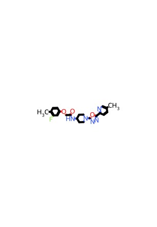 Cc1ccc(-c2nnc(N3CCC(NC(=O)COc4ccc(C)c(F)c4)CC3)o2)nc1